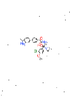 Cc1nn(C)c2cc(-c3ccc(C(=O)C(=O)N[C@H](C)[C@](O)(c4ccc(OC5CC5)c(Cl)c4)N4CCCC4)cc3)ccc12